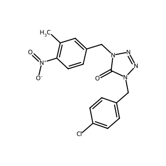 Cc1cc(Cn2nnn(Cc3ccc(Cl)cc3)c2=O)ccc1[N+](=O)[O-]